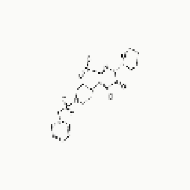 O=c1c(Cl)c(N2CCN(S(=O)(=O)Cc3ccccc3)CC2)c([N+](=O)[O-])nn1C1CCCCO1